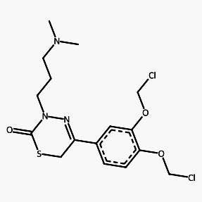 CN(C)CCCN1N=C(c2ccc(OCCl)c(OCCl)c2)CSC1=O